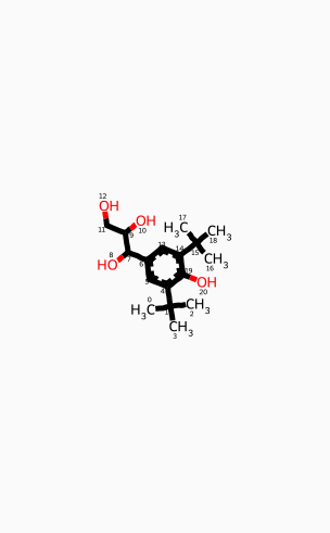 CC(C)(C)c1cc(C(O)C(O)CO)cc(C(C)(C)C)c1O